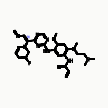 C=CC(=O)Nc1cc(Nc2ncnc(/C(=C/N=C)N3C=CC=C(F)C3)n2)c(OC)cc1N(C)CCN(C)C